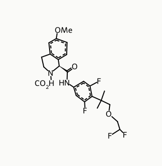 COc1ccc2c(c1)CCN(C(=O)O)[C@@H]2C(=O)Nc1cc(F)c(C(C)(C)COCC(F)F)c(F)c1